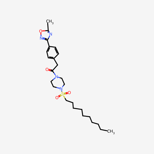 CCCCCCCCCCS(=O)(=O)N1CCN(C(=O)Cc2ccc(-c3noc(C)n3)cc2)CC1